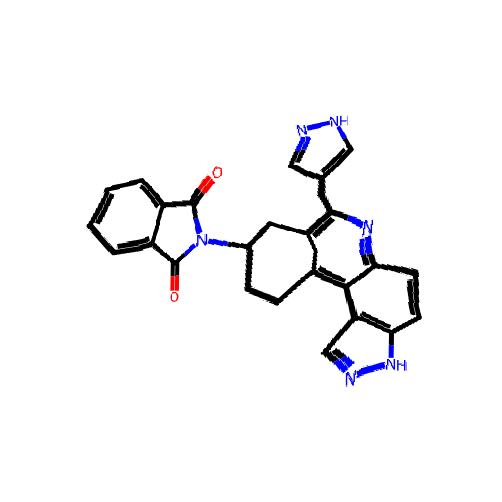 O=C1c2ccccc2C(=O)N1C1CCc2c(c(-c3cn[nH]c3)nc3ccc4[nH]ncc4c23)C1